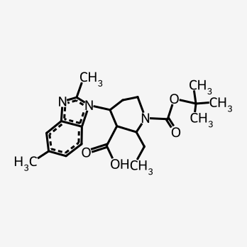 CCC1C(C(=O)O)C(n2c(C)nc3cc(C)ccc32)CCN1C(=O)OC(C)(C)C